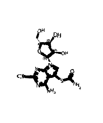 NC(=O)Sc1cn([C@@H]2O[C@H](CO)[C@@H](O)[C@H]2O)c2nc(Cl)nc(N)c12